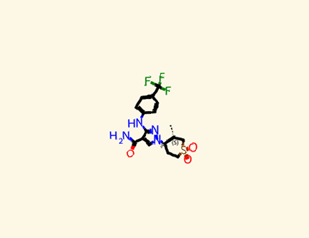 C[C@@H]1CS(=O)(=O)CC[C@H]1n1cc(C(N)=O)c(Nc2ccc(C(F)(F)F)cc2)n1